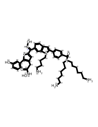 NCCCCCCN(CCCCCCN)C(=O)c1ccc(-c2cc3ccc(/C(=N\O)c4cc(CC(=O)NO)c(-c5cccc(O)c5)s4)cc3n2CCCCN)cc1